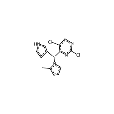 Cc1cccn1N(c1cc[nH]c1)c1nc(Cl)ncc1Cl